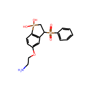 NCCOc1ccc2c(c1)C(S(=O)(=O)c1ccccc1)CS2(O)O